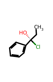 CC[C@@](O)(Cl)c1ccccc1